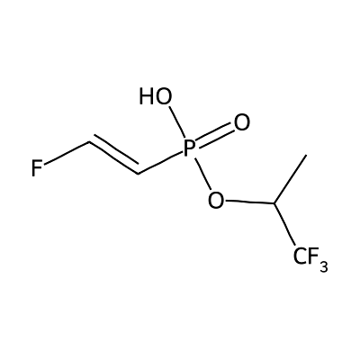 CC(OP(=O)(O)C=CF)C(F)(F)F